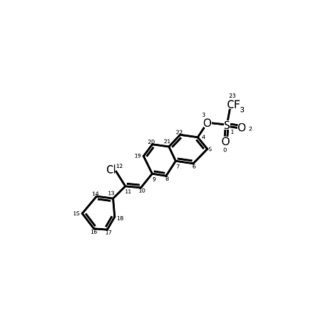 O=S(=O)(Oc1ccc2cc(C=C(Cl)c3ccccc3)ccc2c1)C(F)(F)F